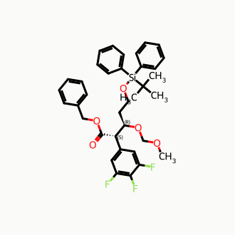 COCO[C@H](CCO[Si](c1ccccc1)(c1ccccc1)C(C)(C)C)[C@@H](C(=O)OCc1ccccc1)c1cc(F)c(F)c(F)c1